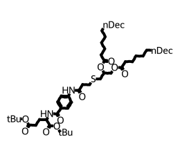 CCCCCCCCCCCCCCCC(=O)OCC(CSCCC(=O)Nc1ccc(C(=O)NC(CCC(=O)OC(C)(C)C)C(=O)OC(C)(C)C)cc1)OC(=O)CCCCCCCCCCCCCCC